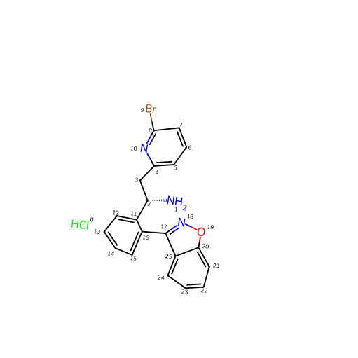 Cl.N[C@@H](Cc1cccc(Br)n1)c1ccccc1-c1noc2ccccc12